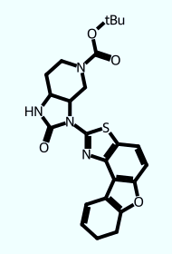 CC(C)(C)OC(=O)N1CCC2NC(=O)N(c3nc4c(ccc5oc6c(c54)C=CCC6)s3)C2C1